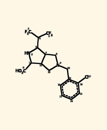 O=C(O)C1NC(C(C(F)(F)F)C(F)(F)F)C2CN(Cc3ccccc3Cl)CC12